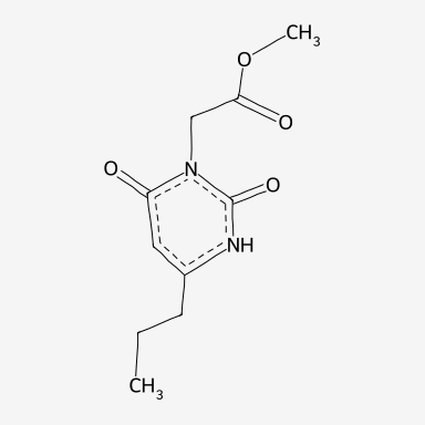 CCCc1cc(=O)n(CC(=O)OC)c(=O)[nH]1